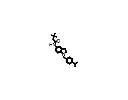 CC(C)c1ccc(CN2CCc3cc(NC(=O)CC(C)(C)C)ccc32)cc1